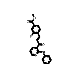 COC(=O)c1ccc(/C=C/C(=O)c2cccnc2Nc2ccccc2)c(F)c1